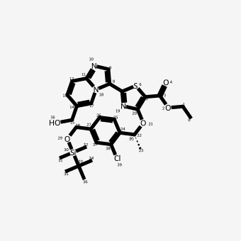 CCOC(=O)c1sc(-c2cnc3ccc(CO)cn23)nc1O[C@H](C)c1ccc(CO[Si](C)(C)C(C)(C)C)cc1Cl